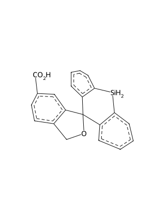 O=C(O)c1ccc2c(c1)C1(OC2)c2ccccc2[SiH2]c2ccccc21